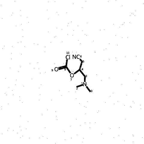 CN(C)CC(CC#N)OC(=O)Cl